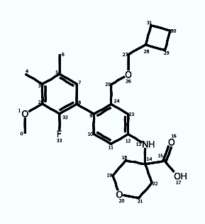 COc1c(C)c(C)cc(-c2ccc(NC3(C(=O)O)CCOCC3)cc2COCC2CCC2)c1F